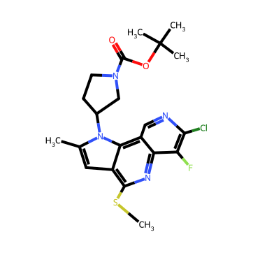 CSc1nc2c(F)c(Cl)ncc2c2c1cc(C)n2C1CCN(C(=O)OC(C)(C)C)C1